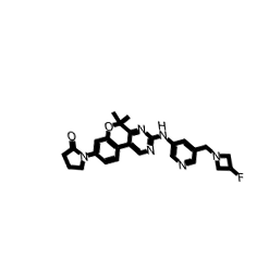 CC1(C)Oc2cc(N3CCCC3=O)ccc2-c2cnc(Nc3cncc(CN4CC(F)C4)c3)nc21